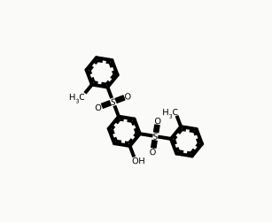 Cc1ccccc1S(=O)(=O)c1ccc(O)c(S(=O)(=O)c2ccccc2C)c1